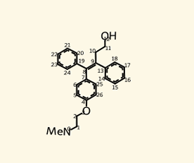 CNCCOc1ccc(/C(=C(/CCO)c2ccccc2)c2ccccc2)cc1